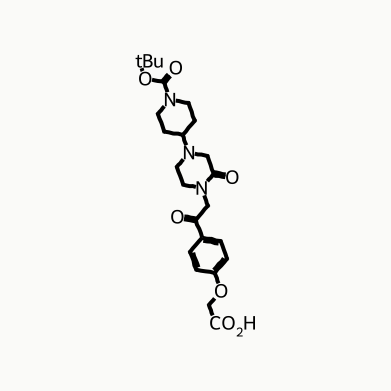 CC(C)(C)OC(=O)N1CCC(N2CCN(CC(=O)c3ccc(OCC(=O)O)cc3)C(=O)C2)CC1